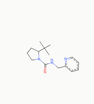 CC(C)(C)C1CCCN1C(=O)NCc1ccccn1